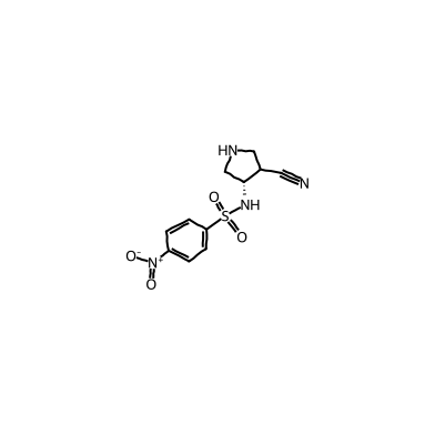 N#CC1CNC[C@H]1NS(=O)(=O)c1ccc([N+](=O)[O-])cc1